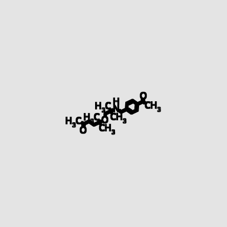 CC(=O)CCC(C)(C)OCC(C)(C)NCc1ccc(C(C)=O)cc1